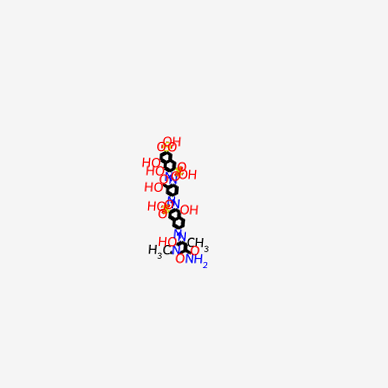 CCn1c(O)c(/N=N/c2ccc3c(O)c(/N=N/c4ccc(/N=N/c5c(S(=O)(=O)O)cc6cc(S(=O)(=O)O)cc(O)c6c5O)c(C(=O)O)c4)c(S(=O)(=O)O)cc3c2)c(C)c(C(N)=O)c1=O